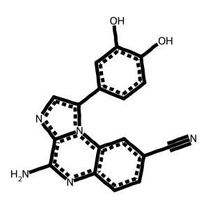 N#Cc1ccc2nc(N)c3ncc(-c4ccc(O)c(O)c4)n3c2c1